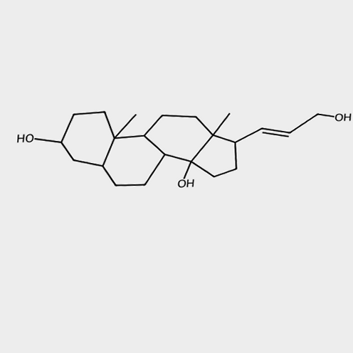 CC12CCC(O)CC1CCC1C2CCC2(C)C(/C=C/CO)CCC12O